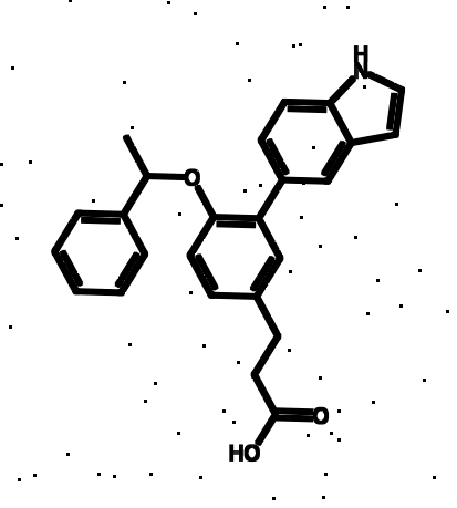 CC(Oc1ccc(CCC(=O)O)cc1-c1ccc2[nH]ccc2c1)c1ccccc1